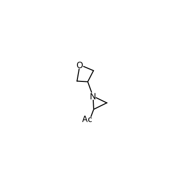 CC(=O)C1CN1C1COC1